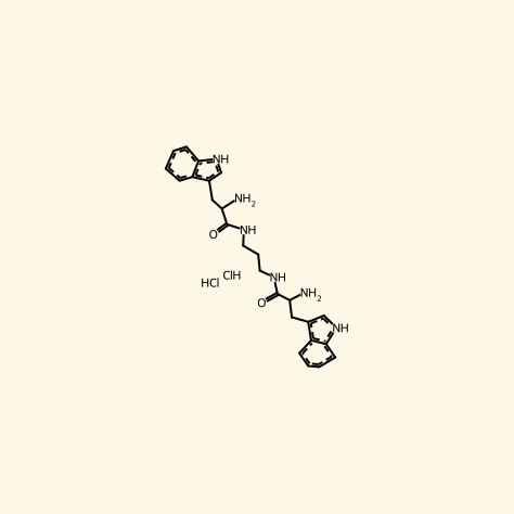 Cl.Cl.NC(Cc1c[nH]c2ccccc12)C(=O)NCCCNC(=O)C(N)Cc1c[nH]c2ccccc12